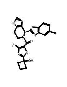 O=C(c1oc(C2(O)CCC2)nc1C(F)(F)F)N1CCc2[nH]cnc2[C@H]1c1nc2cc(F)ccc2o1